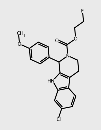 COc1ccc(C2c3[nH]c4cc(Cl)ccc4c3CCN2C(=O)OCCF)cc1